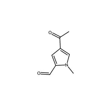 CC(=O)c1cc(C=O)n(C)c1